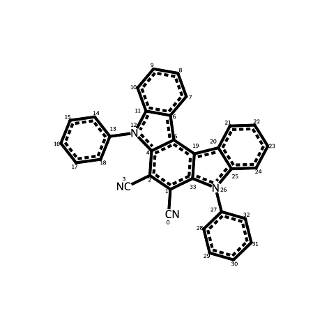 N#Cc1c(C#N)c2c(c3ccccc3n2-c2ccccc2)c2c3ccccc3n(-c3ccccc3)c12